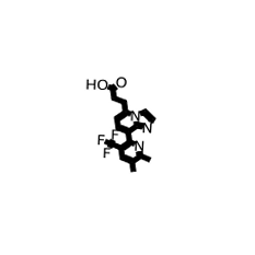 Cc1cc(C(F)(F)F)c(-c2ccc(CCC(=O)O)n3ccnc23)nc1C